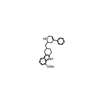 COc1cccc2c3c([nH]c12)CCC(CC1CC(c2ccccc2)=CCN1)C3